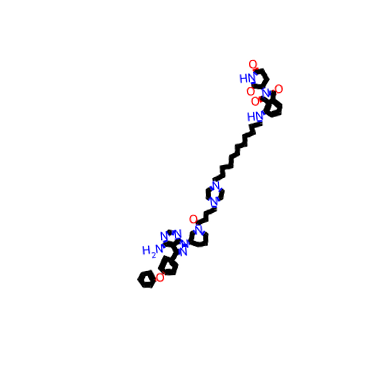 Nc1ncnc2c1c(-c1ccc(Oc3ccccc3)cc1)nn2C1CCCN(C(=O)CCCN2CCN(CCCCCCCCCCCCNc3cccc4c3C(=O)N(C3CCC(=O)NC3=O)C4=O)CC2)C1